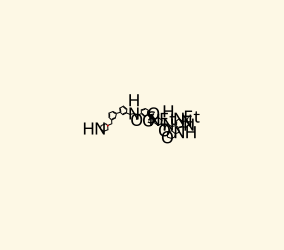 CCc1nc2c(cnn2CC)c(NC2CCOCC2)c1CNC(=O)C1CCN(S(=O)(=O)c2cccc(C(=O)NCc3cccc(-c4cccc(CC5CCNCC5)c4)c3)c2)CC1